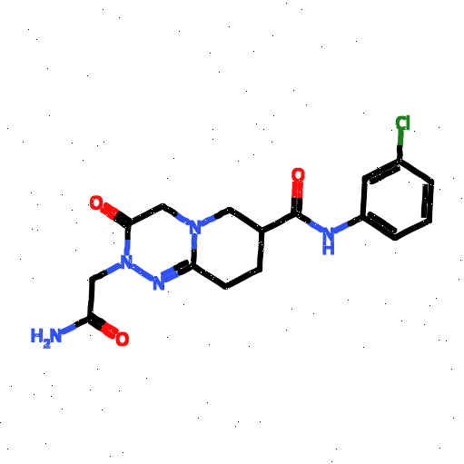 NC(=O)CN1N=C2CCC(C(=O)Nc3cccc(Cl)c3)CN2CC1=O